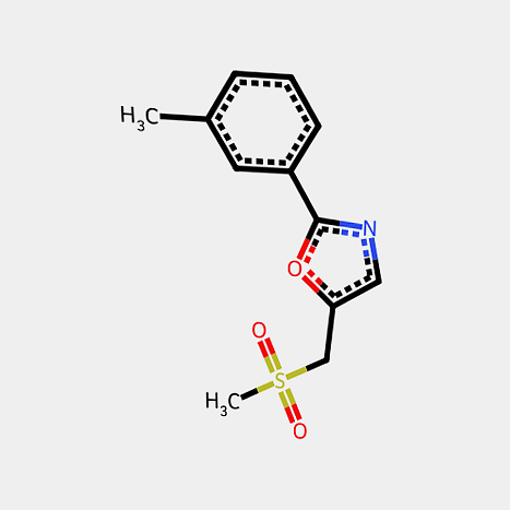 Cc1cccc(-c2ncc(CS(C)(=O)=O)o2)c1